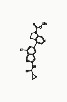 CC(C)(C)OC(=O)N1CCc2c(-c3cc(Cl)c4cnc(NC(=O)C5CC5)cc4c3)cncc21